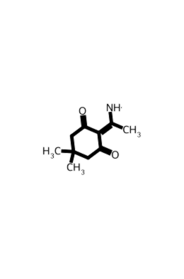 CC([NH])=C1C(=O)CC(C)(C)CC1=O